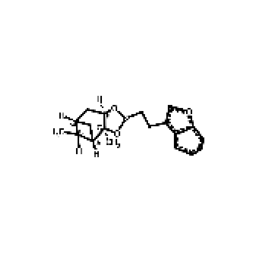 C[C@@H]1[C@@H]2C[C@H]3OB(CCc4coc5ccccc45)O[C@@]3(C)[C@H]1C2